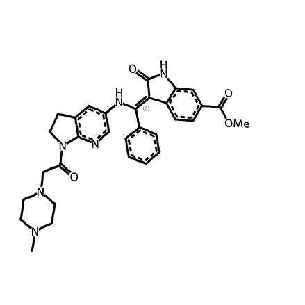 COC(=O)c1ccc2c(c1)NC(=O)/C2=C(\Nc1cnc2c(c1)CCN2C(=O)CN1CCN(C)CC1)c1ccccc1